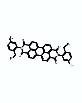 CC(C)Cc1ccc(C(C)(C)C)cc1N1C(=O)c2ccc3c4ccc5c6c(ccc(c7ccc(c2c37)C1=O)c64)C(=O)N(c1cc(C(C)(C)C)ccc1CC(C)C)C5=O